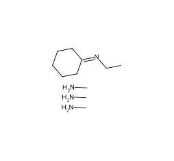 CCN=C1CCCCC1.CN.CN.CN